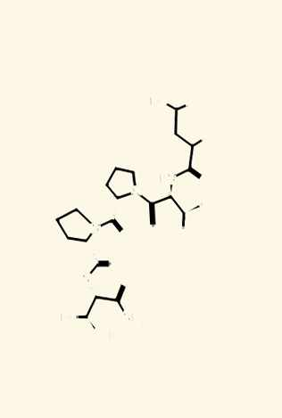 CC(C)CC(C)C(=O)N[C@H](C(=O)N1CCC[C@H]1C(=O)N1CCC[C@H]1C(=O)N[C@H](C(N)=O)[C@@H](C)O)[C@@H](C)O